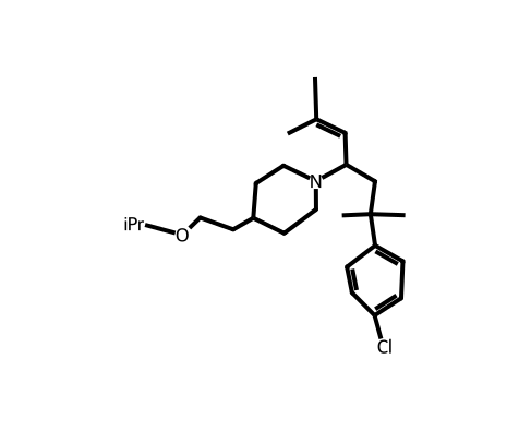 CC(C)=CC(CC(C)(C)c1ccc(Cl)cc1)N1CCC(CCOC(C)C)CC1